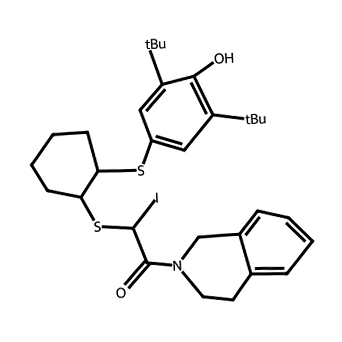 CC(C)(C)c1cc(SC2CCCCC2SC(I)C(=O)N2CCc3ccccc3C2)cc(C(C)(C)C)c1O